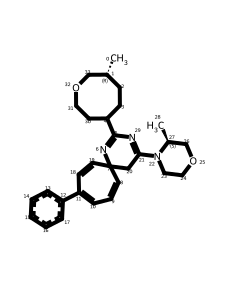 C[C@@H]1CCC(C2=NC3(C=CC=C(c4ccccc4)C=C3)CC(N3CCOC[C@@H]3C)=N2)CCOC1